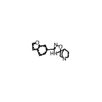 c1cc2ccc(C3=NOC4(CN5CCC4CC5)N3)cc2o1